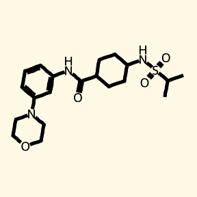 CC(C)S(=O)(=O)NC1CCC(C(=O)Nc2cccc(N3CCOCC3)c2)CC1